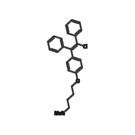 CNCCCCOc1ccc(/C(=C(\Cl)c2ccccc2)c2ccccc2)cc1